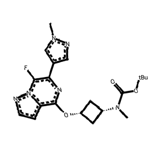 Cn1cc(-c2nc(O[C@H]3C[C@@H](N(C)C(=O)OC(C)(C)C)C3)c3ccnn3c2F)cn1